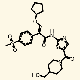 CS(=O)(=O)c1ccc(/C(=N\OC2CCCC2)C(=O)Nc2ncc(C(=O)N3CCC(CO)CC3)s2)cc1